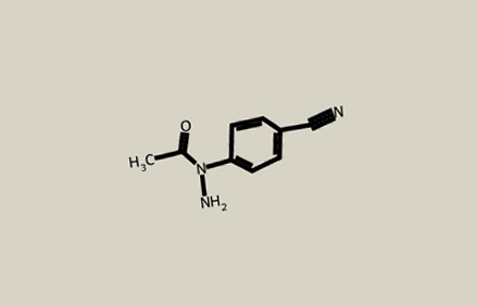 CC(=O)N(N)c1ccc(C#N)cc1